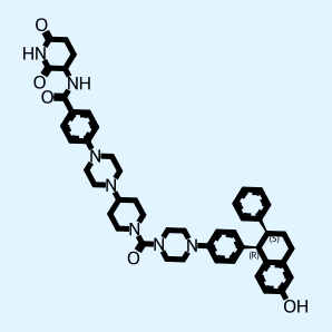 O=C1CCC(NC(=O)c2ccc(N3CCN(C4CCN(C(=O)N5CCN(c6ccc([C@@H]7c8ccc(O)cc8CC[C@@H]7c7ccccc7)cc6)CC5)CC4)CC3)cc2)C(=O)N1